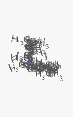 Cc1ccc(N(c2ccc3c(c2)C(C)(C)c2cc4c(cc2-3)C(C)(C)c2cc(N(c3ccc(C)cc3C)c3ccc(C)cc3C)c3ccccc3c2-4)c2ccc(Cc3cc4ccc5cc6c(c7ccc(c3)c4c57)-c3cc4c(cc3C6(C)C)-c3c(ccc5ccccc35)C4(C)C)cc2C)c(C)c1